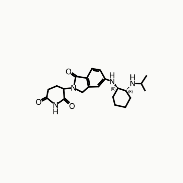 CC(C)N[C@@H]1CCCC[C@H]1Nc1ccc2c(c1)CN(C1CCC(=O)NC1=O)C2=O